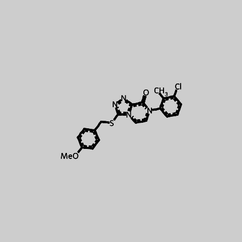 COc1ccc(CSc2nnc3c(=O)n(-c4cccc(Cl)c4C)ccn23)cc1